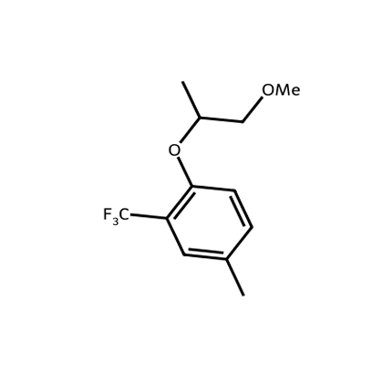 COCC(C)Oc1ccc(C)cc1C(F)(F)F